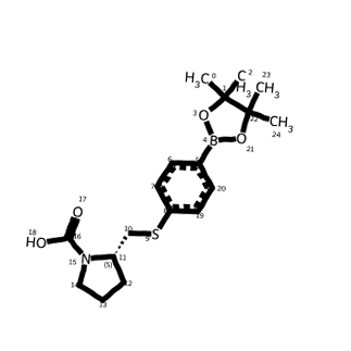 CC1(C)OB(c2ccc(SC[C@@H]3CCCN3C(=O)O)cc2)OC1(C)C